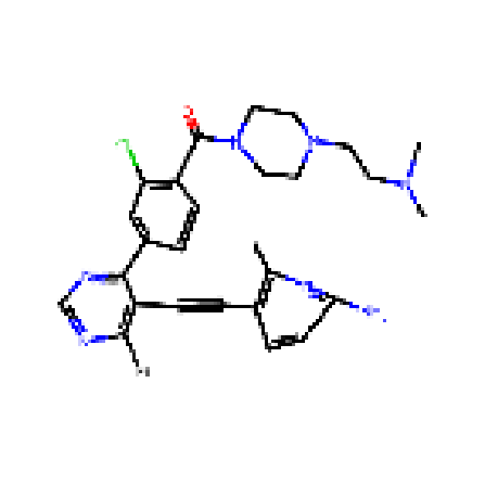 CCc1ncnc(-c2ccc(C(=O)N3CCN(CCN(C)C)CC3)c(Cl)c2)c1C#Cc1ccc(N)nc1C